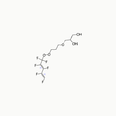 OCC(O)COCCCOOC(F)(F)/C(F)=C(F)/C(F)=C/F